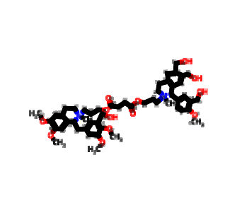 COc1ccc(C2c3cc(CO)c(CO)cc3CC[N+]2(C)CCCOC(=O)CCC(=O)OCCC[N+]2(C)CCc3cc(OC)c(OC)cc3C2Cc2cc(CO)c(OC)c(OC)c2)cc1CO